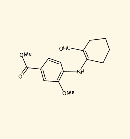 COC(=O)c1ccc(NC2=C(C=O)CCCC2)c(OC)c1